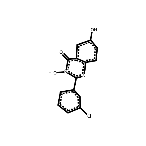 Cn1c(-c2cccc(Cl)c2)nc2ccc(O)cc2c1=O